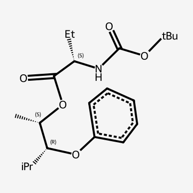 CC[C@H](NC(=O)OC(C)(C)C)C(=O)O[C@@H](C)[C@H](Oc1ccccc1)C(C)C